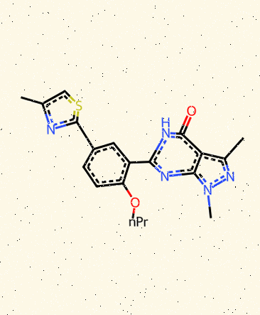 CCCOc1ccc(-c2nc(C)cs2)cc1-c1nc2c(c(C)nn2C)c(=O)[nH]1